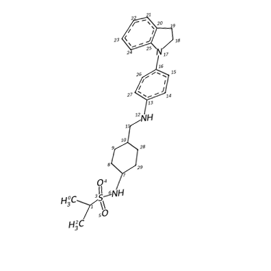 CC(C)S(=O)(=O)NC1CCC(CNc2ccc(N3CCc4ccccc43)cc2)CC1